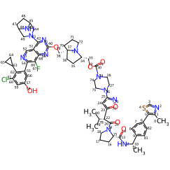 Cc1ncsc1-c1ccc([C@H](C)NC(=O)[C@@H]2CCCN2C(=O)[C@@H](c2cc(N3CCN(C(=O)OC[C@@H]4CC[C@@]5(COc6nc(N7CC8CCC(C7)N8)c7cnc(-c8cc(O)cc(Cl)c8C8CC8)c(F)c7n6)CCCN45)CC3)no2)C(C)C)cc1